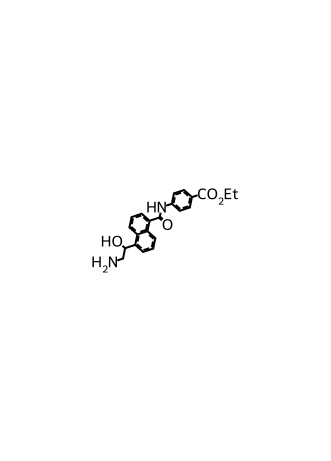 CCOC(=O)c1ccc(NC(=O)c2cccc3c(C(O)CN)cccc23)cc1